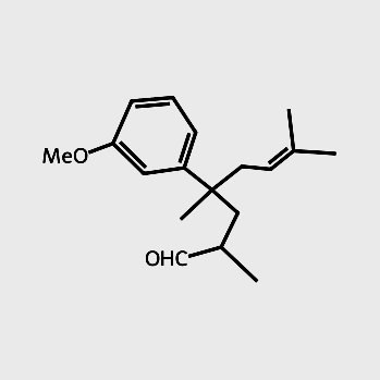 COc1cccc(C(C)(CC=C(C)C)CC(C)C=O)c1